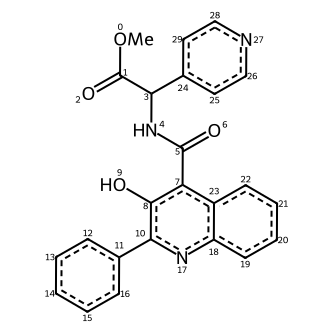 COC(=O)C(NC(=O)c1c(O)c(-c2ccccc2)nc2ccccc12)c1ccncc1